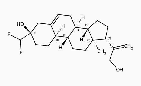 C=C(CO)[C@H]1CC[C@H]2[C@@H]3CC=C4C[C@@](O)(C(F)F)CC[C@@H]4[C@H]3CC[C@]12C